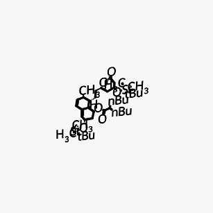 CCCCC(CCCC)C(=O)O[C@H]1C[C@H](O[Si](C)(C)C(C)(C)C)C=C2C=C[C@H](C)[C@H](CC[C@@H]3C[C@@H](O[Si](C)(C)C(C)(C)C)CC(=O)O3)[C@H]21